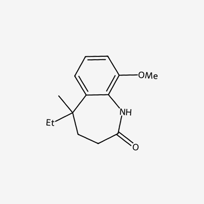 CCC1(C)CCC(=O)Nc2c(OC)cccc21